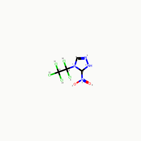 O=[N+]([O-])C1NN=CN1C(Cl)(Cl)C(Cl)(Cl)Cl